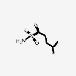 CC(C)CCC(=O)S(N)(=O)=O